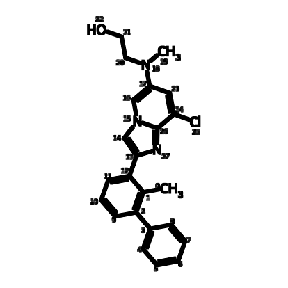 Cc1c(-c2ccccc2)cccc1-c1cn2cc(N(C)CCO)cc(Cl)c2n1